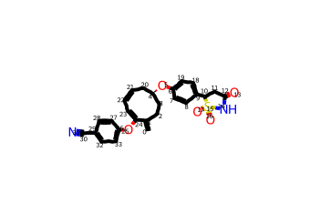 C=C1CC[C@@H](Oc2ccc(C3CC(=O)NS3(=O)=O)cc2)C/C=C\C=C/1Oc1ccc(C#N)cc1